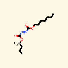 CCCCCCCOC(=O)/N=N/C(=O)O[SiH2]CCC